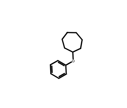 [c]1ccccc1OC1CC[CH]CCC1